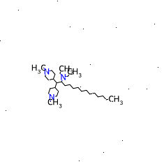 CCCCCCCCCCCCC(C(C1CCN(C)CC1)C1CCN(C)CC1)N(CC)CC